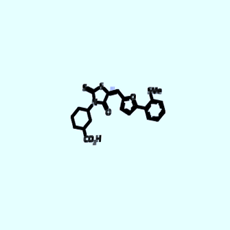 CSc1ccccc1-c1ccc(/C=C2/SC(=S)N(C3CCCC(C(=O)O)C3)C2=O)o1